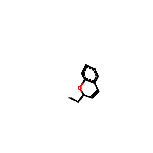 [CH2]CC1C=Cc2ccccc2O1